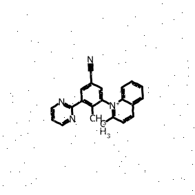 Cc1c(-c2ncccn2)cc(C#N)cc1-[n+]1c(C)ccc2ccccc21